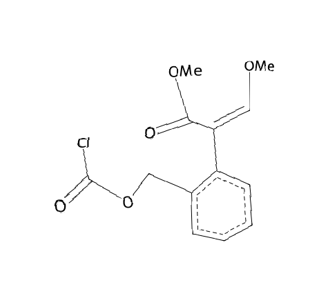 COC=C(C(=O)OC)c1ccccc1COC(=O)Cl